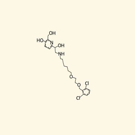 OCc1nc(C(O)CNCCCCCCOCCOCc2c(Cl)cccc2Cl)ccc1O